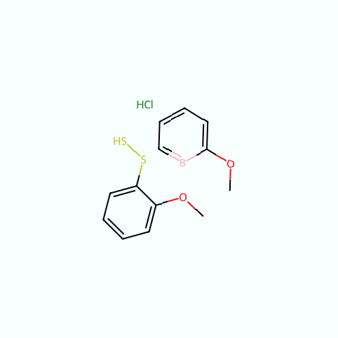 COc1bcccc1.COc1ccccc1SS.Cl